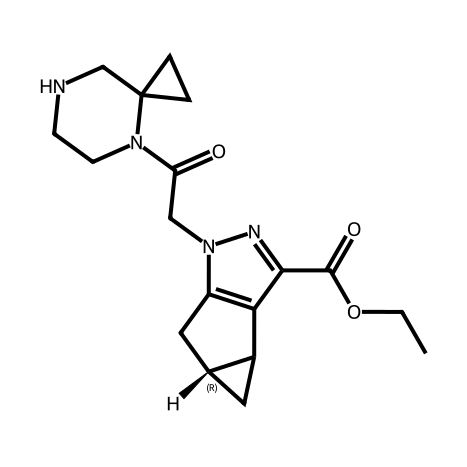 CCOC(=O)c1nn(CC(=O)N2CCNCC23CC3)c2c1C1C[C@@H]1C2